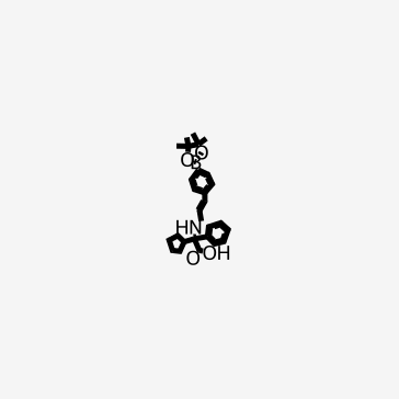 CC1(C)OB(c2ccc(C=CCN[C@](C(=O)O)(c3ccccc3)C3CCCC3)cc2)OC1(C)C